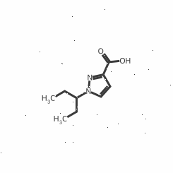 CCC(CC)n1ccc(C(=O)O)n1